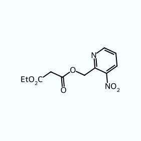 CCOC(=O)CC(=O)OCc1ncccc1[N+](=O)[O-]